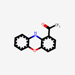 O=C(c1cccc2c1Nc1ccccc1O2)C(F)(F)F